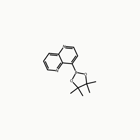 CC1(C)OB(c2ccnc3cccnc23)OC1(C)C